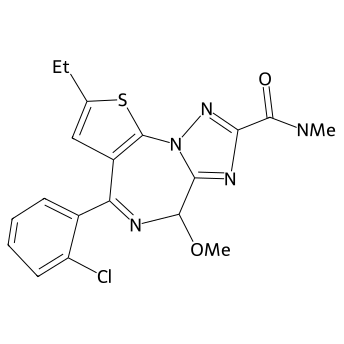 CCc1cc2c(s1)-n1nc(C(=O)NC)nc1C(OC)N=C2c1ccccc1Cl